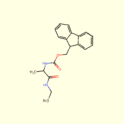 CC(=O)OCNC(=O)C(C)NC(=O)OCC1c2ccccc2-c2ccccc21